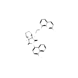 C[C@]12CC[C@](CCOc3cccc4ccc(N)nc34)(O1)[C@@H]1C(=O)N(c3ccc(C#N)c4ccccc34)C(=O)[C@@H]12